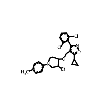 CCC1CN(c2ccc(C)cc2)CCC1OCc1c(-c2c(Cl)cccc2Cl)noc1C1CC1